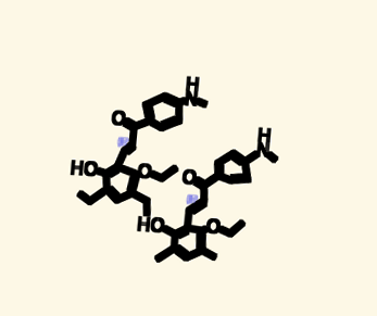 CCOc1c(C)cc(C)c(O)c1/C=C/C(=O)c1ccc(NC)cc1.CCOc1c(CC)cc(CC)c(O)c1/C=C/C(=O)c1ccc(NC)cc1